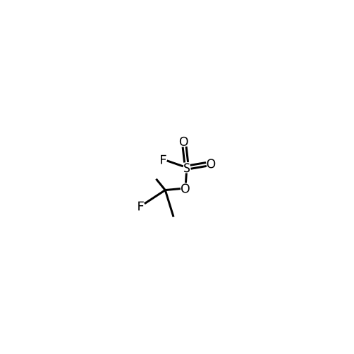 CC(C)(F)OS(=O)(=O)F